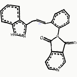 O=C1c2ccncc2C(=O)N1c1ccccc1/C=C/c1n[nH]c2ccccc12